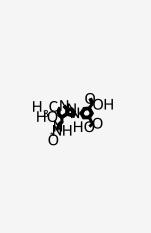 Cc1nc2nn(-c3cc(C(=O)O)cc(C(=O)O)c3)cc2c(C=NNC=O)c1O